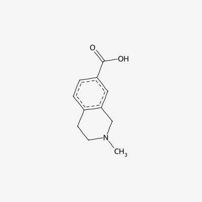 CN1CCc2ccc(C(=O)O)cc2C1